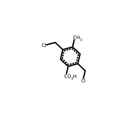 Cc1cc(CCl)c(C(=O)O)cc1CCl